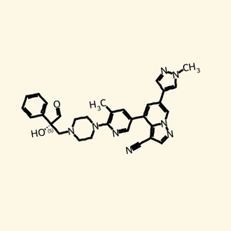 Cc1cc(-c2cc(-c3cnn(C)c3)cn3ncc(C#N)c23)cnc1N1CCN(C[C@](O)(C=O)c2ccccc2)CC1